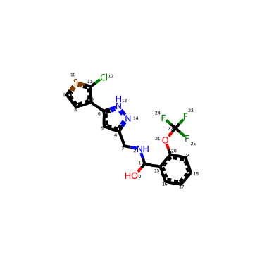 OC(NCc1cc(-c2ccsc2Cl)[nH]n1)c1ccccc1OC(F)(F)F